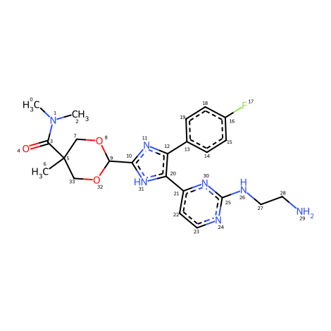 CN(C)C(=O)C1(C)COC(c2nc(-c3ccc(F)cc3)c(-c3ccnc(NCCN)n3)[nH]2)OC1